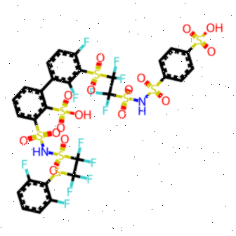 O=S(=O)(O)c1ccc(S(=O)(=O)NS(=O)(=O)C(F)(F)C(F)(F)S(=O)(=O)c2c(F)ccc(-c3cccc(S(=O)(=O)NS(=O)(=O)C(F)(F)C(F)(F)Sc4c(F)cccc4F)c3S(=O)(=O)O)c2F)cc1